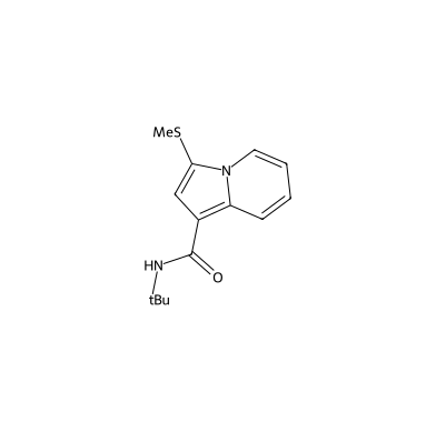 CSc1cc(C(=O)NC(C)(C)C)c2ccccn12